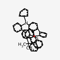 CC1(C)c2ccccc2C2(c3ccccc3-c3ccc(N(c4ccccc4)c4ccccc4-c4ccc5sc6ccccc6c5c4)cc32)c2ccccc21